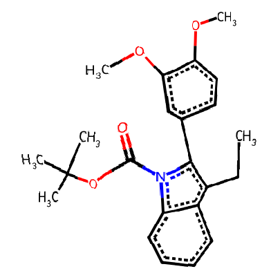 CCc1c(-c2ccc(OC)c(OC)c2)n(C(=O)OC(C)(C)C)c2ccccc12